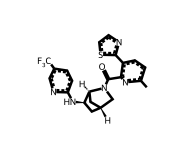 Cc1ccc(-c2nccs2)c(C(=O)N2C[C@@H]3C[C@@H](Nc4ccc(C(F)(F)F)cn4)[C@@H]2C3)n1